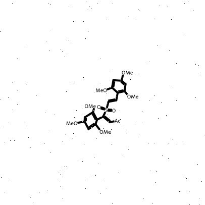 COc1cc(OC)c(C=CS(=O)(=O)/C(=C\C(C)=O)c2c(OC)cc(OC)cc2OC)c(OC)c1